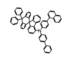 c1ccc(-c2ccc(N(c3ccc(-c4cccc5ccccc45)cc3)c3cccc4c3-c3ccccc3C43c4ccccc4C(c4ccccc4)(c4ccccc4)c4ccccc43)cc2)cc1